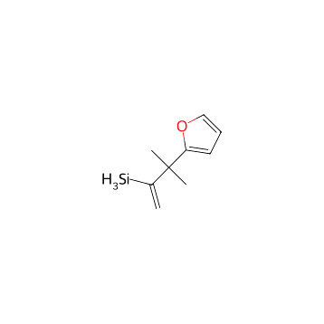 C=C([SiH3])C(C)(C)c1ccco1